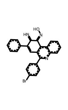 N=C1C(c2ccccc2)=Cc2c(-c3ccc(Br)cc3)nc3ccccc3c2/C1=N/O